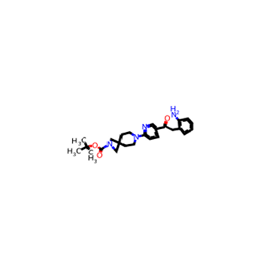 CC(C)(C)OC(=O)N1CC2(CCN(c3ccc(C(=O)Cc4ccccc4N)cn3)CC2)C1